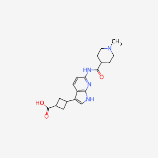 CN1CCC(C(=O)Nc2ccc3c(C4CC(C(=O)O)C4)c[nH]c3n2)CC1